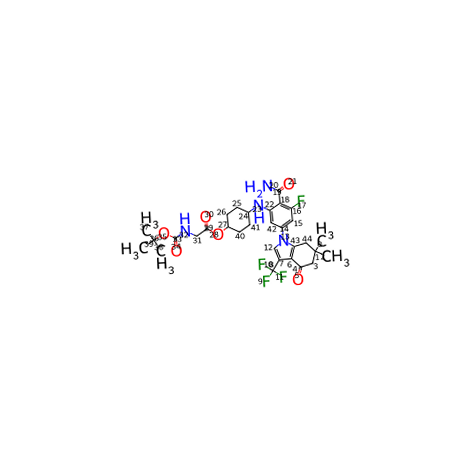 CC1(C)CC(=O)c2c(C(F)(F)F)cn(-c3cc(F)c(C(N)=O)c(NC4CCC(OC(=O)CNC(=O)OC(C)(C)C)CC4)c3)c2C1